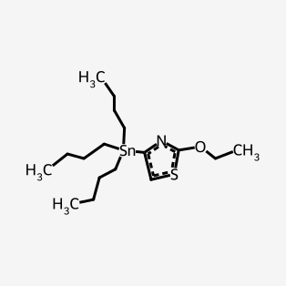 CCC[CH2][Sn]([CH2]CCC)([CH2]CCC)[c]1csc(OCC)n1